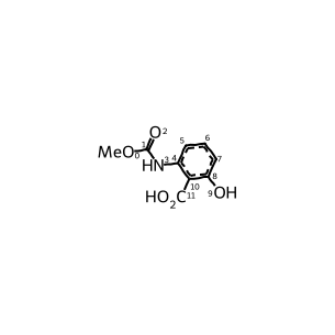 COC(=O)Nc1cccc(O)c1C(=O)O